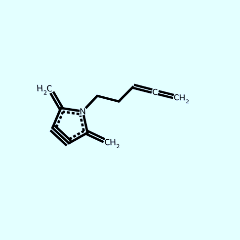 C=C=CCCn1c(=C)c#cc1=C